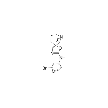 Brc1cc(NC2=NC[C@@]3(CN4CCC3CC4)O2)ccn1